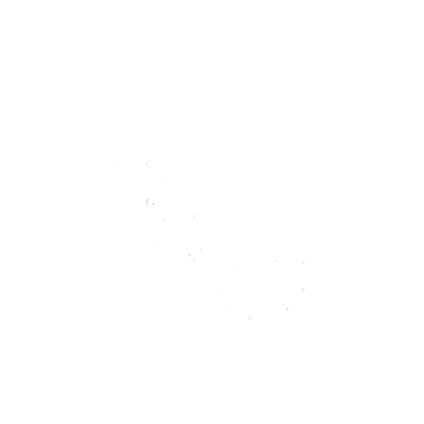 CCOC(=O)CNC(=O)Cc1csc(-c2ccc3ccccc3c2)n1